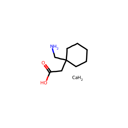 NCC1(CC(=O)O)CCCCC1.[CaH2]